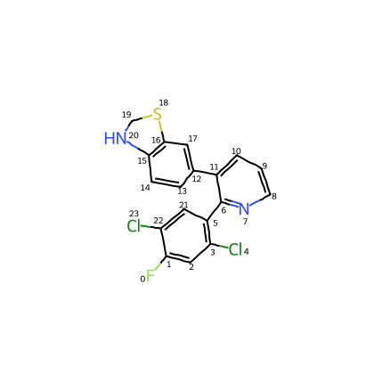 Fc1cc(Cl)c(-c2ncccc2-c2ccc3c(c2)SCN3)cc1Cl